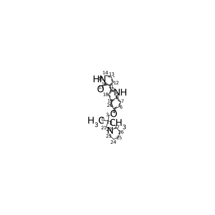 CC(C)(COc1ccc2[nH]c(-c3c[c]c[nH]c3=O)cc2c1)CN1CCCCC1